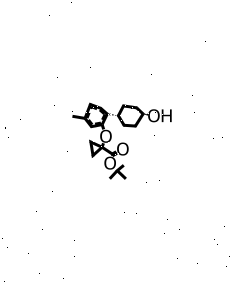 Cc1ccc([C@H]2CC[C@@H](O)CC2)c(OC2(C(=O)OC(C)(C)C)CC2)c1